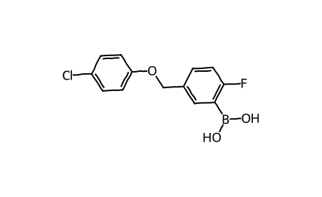 OB(O)c1cc(COc2ccc(Cl)cc2)ccc1F